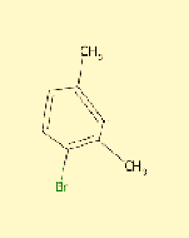 Cc1[c]c(C)c(Br)cc1